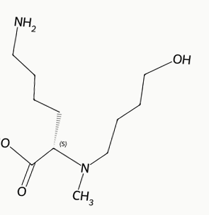 CN(CCCCO)[C@@H](CCCCN)C(=O)O